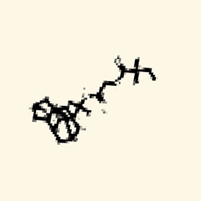 CCC(C)(C)C(=O)OCC(=O)OC(C)(C)C12CC3CC(C1)C1CC4CC3C1(C4)C2